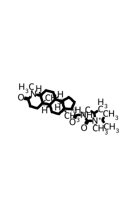 CC(C)[N+](C)(C(=O)NC(=O)[C@H]1CC[C@H]2[C@@H]3CC[C@H]4N(C)C(=O)CC[C@]4(C)[C@H]3CC[C@]12C)C(C)C